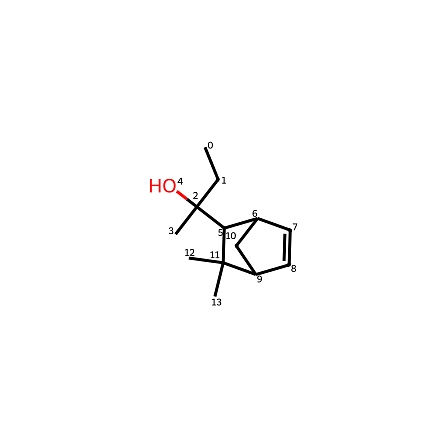 CCC(C)(O)C1C2C=CC(C2)C1(C)C